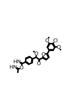 COc1cc(-c2ccc(C(=O)C(OC)c3ccc(C(=N)OC(C)=N)cc3)o2)cc(OC)c1Cl